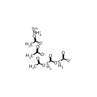 CC(=O)[O-].CC(=O)[O-].CC(=O)[O-].CC(=O)[O-].CC(=O)[O-].[NH4+].[Ti+4]